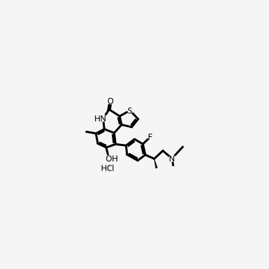 Cc1cc(O)c(-c2ccc([C@H](C)CN(C)C)c(F)c2)c2c1[nH]c(=O)c1sccc12.Cl